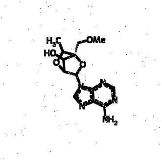 COC[C@@]12OC(n3cnc4c(N)ncnc43)C(OC1C)C2O